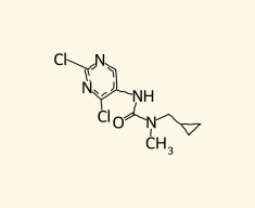 CN(CC1CC1)C(=O)Nc1cnc(Cl)nc1Cl